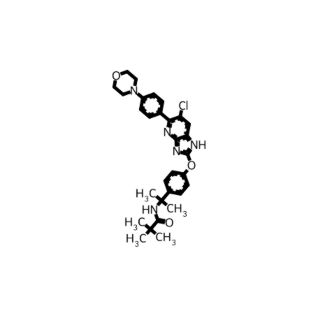 CC(C)(C)C(=O)NC(C)(C)c1ccc(Oc2nc3nc(-c4ccc(N5CCOCC5)cc4)c(Cl)cc3[nH]2)cc1